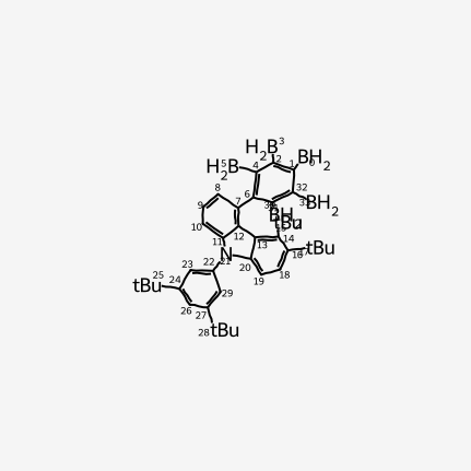 Bc1c(B)c(B)c(-c2cccc3c2c2c(C(C)(C)C)c(C(C)(C)C)ccc2n3-c2cc(C(C)(C)C)cc(C(C)(C)C)c2)c(B)c1B